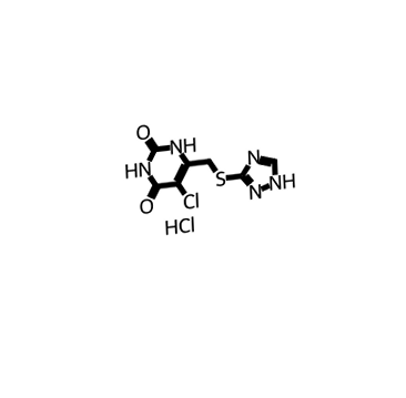 Cl.O=c1[nH]c(CSc2nc[nH]n2)c(Cl)c(=O)[nH]1